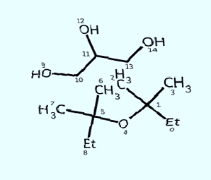 CCC(C)(C)OC(C)(C)CC.OCC(O)CO